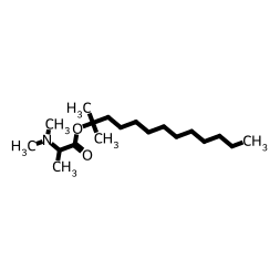 CCCCCCCCCCCC(C)(C)OC(=O)C(C)N(C)C